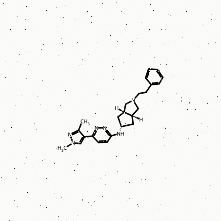 Cc1nn(C)cc1-c1ccc(N[C@@H]2C[C@@H]3CN(CCc4ccccc4)C[C@@H]3C2)nn1